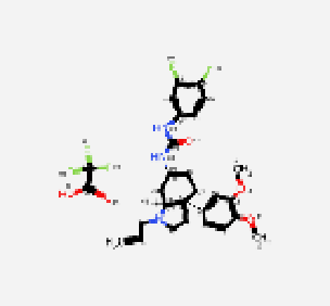 C=CCN1CC[C@]2(c3ccc(OC)c(OC)c3)CC[C@@H](NC(=O)Nc3ccc(F)c(F)c3)C[C@H]12.O=C(O)C(F)(F)F